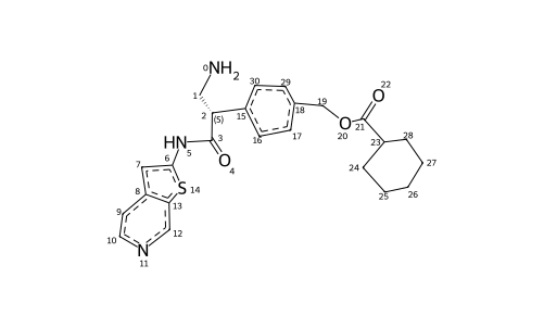 NC[C@@H](C(=O)Nc1cc2ccncc2s1)c1ccc(COC(=O)C2CCCCC2)cc1